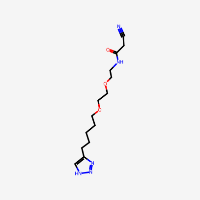 N#CCC(=O)NCCOCCOCCCCCc1c[nH]nn1